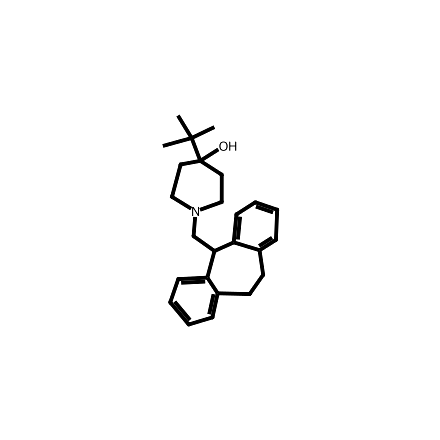 CC(C)(C)C1(O)CCN(CC2c3ccccc3CCc3ccccc32)CC1